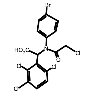 O=C(O)C(c1c(Cl)ccc(Cl)c1Cl)N(C(=O)CCl)c1ccc(Br)cc1